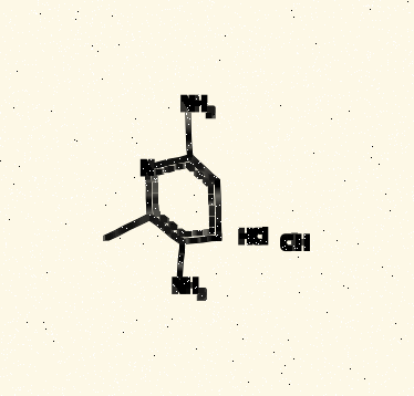 Cc1nc(N)ccc1N.Cl.Cl